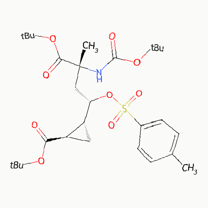 Cc1ccc(S(=O)(=O)O[C@@H](C[C@@](C)(NC(=O)OC(C)(C)C)C(=O)OC(C)(C)C)[C@@H]2C[C@H]2C(=O)OC(C)(C)C)cc1